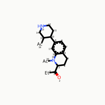 CCC(=O)C1CCc2ccc(C3CCNCC3C(C)=O)cc2N1C(C)=O